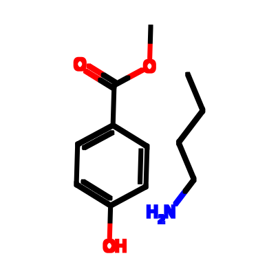 CCCCN.COC(=O)c1ccc(O)cc1